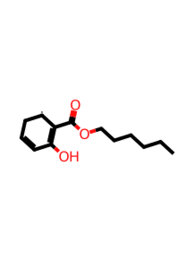 CCCCCCOC(=O)C1=C(O)C=CC[CH]1